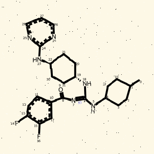 CC1CCC(N/C(=N/C(=O)c2ccc(F)c(F)c2)N[C@H]2CC[C@H](Nc3ncccn3)CC2)CC1